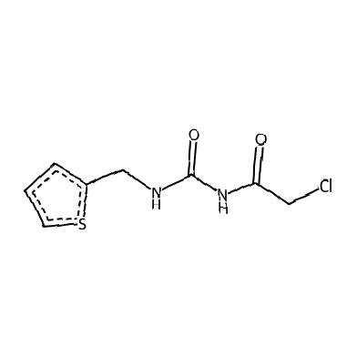 O=C(CCl)NC(=O)NCc1cccs1